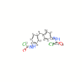 O=C(Cl)Nc1ccc(Cc2ccc(NC(=O)Cl)cc2)cc1